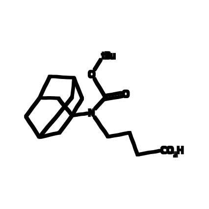 CC(C)(C)OC(=O)N(CCCC(=O)O)C12CC3CC(CC(C3)C1)C2